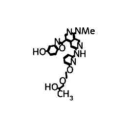 CNc1ncc(-c2nc3cc(O)ccc3o2)c2cc(Nc3cccc(OCCOCC(C)O)n3)ncc12